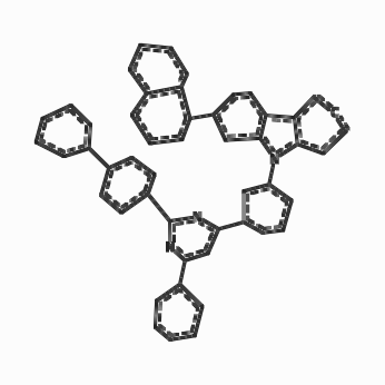 c1ccc(-c2ccc(-c3nc(-c4ccccc4)cc(-c4cccc(-n5c6ccccc6c6ccc(-c7cccc8ccccc78)cc65)c4)n3)cc2)cc1